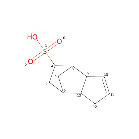 O=S(=O)(O)C1CC2CC1C1C=CCC21